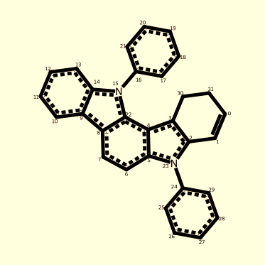 C1=Cc2c(c3c(ccc4c5ccccc5n(-c5ccccc5)c43)n2-c2ccccc2)CC1